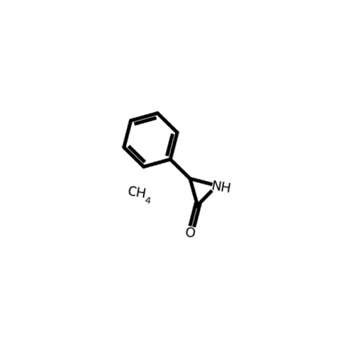 C.O=C1NC1c1ccccc1